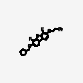 CC(C)CCOc1ccc2c(sc3c(F)c(OCC4CCCC4)ccc32)c1F